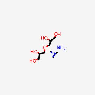 CN(C)C.N.OCC(O)COCC(O)CO